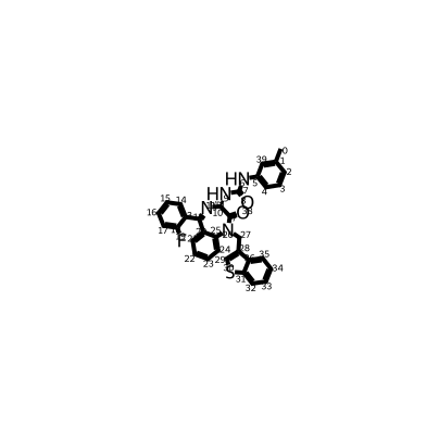 Cc1cccc(NC(=O)N[C@@H]2N=C(c3ccccc3F)c3ccccc3N(Cc3csc4ccccc34)C2=O)c1